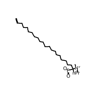 C=CCCCCCCCCCCCCCCCCCCCC(CCC)(P(=O)=O)[N+](C)(C)C